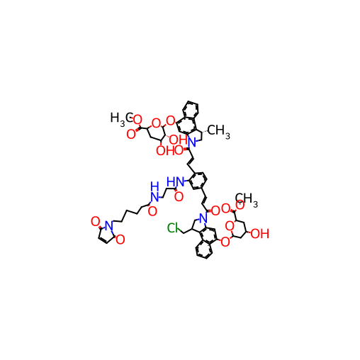 COC(=O)C1CC(O)CC(Oc2cc3c(c4ccccc24)C(CCl)CN3C(=O)/C=C/c2ccc(/C=C/C(=O)N3C[C@@H](C)c4c3cc(OC3OC(C(=O)OC)CC(O)[C@H]3O)c3ccccc43)c(NC(=O)CCNC(=O)CCCCCN3C(=O)C=CC3=O)c2)O1